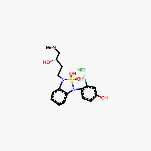 CNC[C@@H](O)CCN1c2ccccc2N(c2ccc(O)cc2F)S1(O)O.Cl